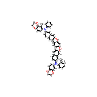 Cc1ccccc1N(c1ccc2c(c1)OCCO2)c1ccc2cc3c(cc2c1)oc1cc2oc4cc5cc(N(c6ccc7c(c6)OCCO7)c6ccccc6C)ccc5cc4c2cc13